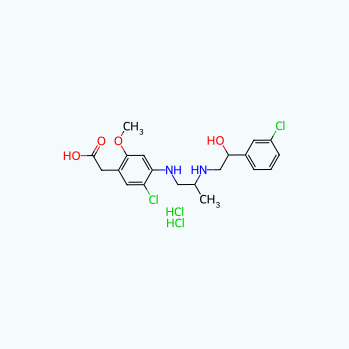 COc1cc(NCC(C)NCC(O)c2cccc(Cl)c2)c(Cl)cc1CC(=O)O.Cl.Cl